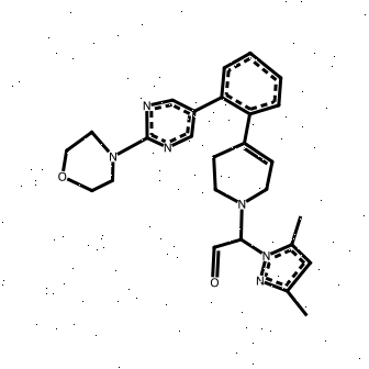 Cc1cc(C)n(C(C=O)N2CC=C(c3ccccc3-c3cnc(N4CCOCC4)nc3)CC2)n1